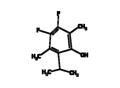 Cc1c(O)c(C(C)C)c(C)c(F)c1F